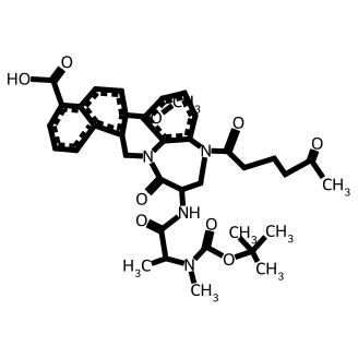 COc1ccc2c(C(=O)O)cccc2c1CN1C(=O)C(NC(=O)C(C)N(C)C(=O)OC(C)(C)C)CN(C(=O)CCCC(C)=O)c2ccccc21